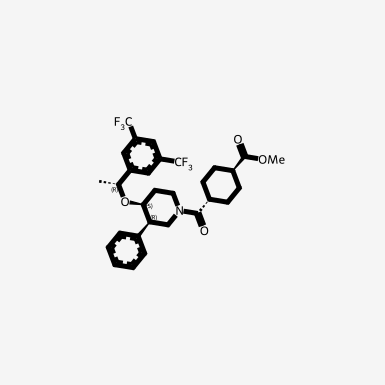 COC(=O)[C@H]1CC[C@H](C(=O)N2CC[C@H](O[C@H](C)c3cc(C(F)(F)F)cc(C(F)(F)F)c3)[C@H](c3ccccc3)C2)CC1